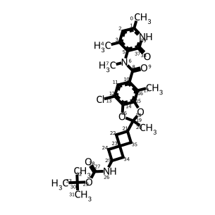 Cc1cc(C)c(N(C)C(=O)c2cc(Cl)c3c(c2C)OC(C)(C2CC4(CC(NC(=O)OC(C)(C)C)C4)C2)O3)c(=O)[nH]1